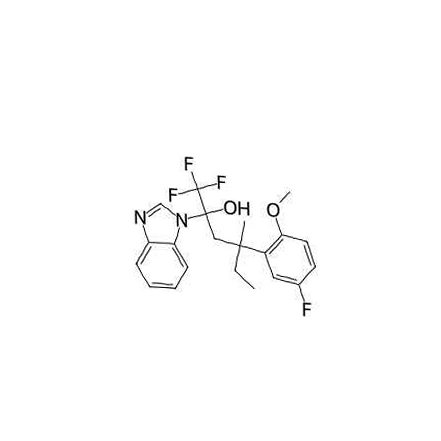 CCC(C)(CC(O)(n1cnc2ccccc21)C(F)(F)F)c1cc(F)ccc1OC